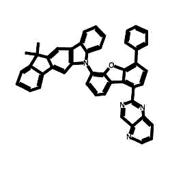 CC1(C)c2ccccc2-c2cc3c(cc21)c1ccccc1n3-c1cccc2c1oc1c(-c3ccccc3)ccc(-c3ncc4ncccc4n3)c12